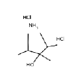 CC(C)C(C)(O)C(C)C.Cl.Cl.N